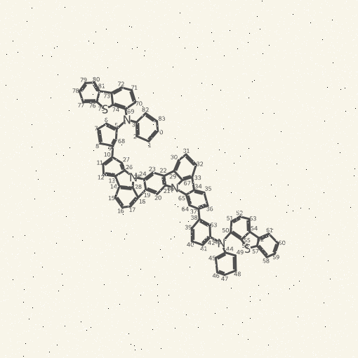 c1ccc(N(c2cccc(-c3ccc4c5cccc6c7cc8c(cc7n(c4c3)c56)c3cccc4c5ccc(-c6cccc(N(c7ccccc7)c7cccc9c7sc7ccccc79)c6)cc5n8c43)c2)c2cccc3c2sc2ccccc23)cc1